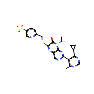 CCS(=O)(=O)c1ccc(CNc2nc3cnc(-c4c(C)ncnc4C4CC4)nc3n([C@@H](C)C(F)(F)F)c2=O)nc1